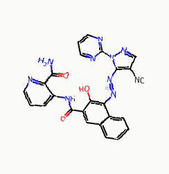 [C-]#[N+]c1cnn(-c2ncccn2)c1/N=N/c1c(O)c(C(=O)Nc2cccnc2C(N)=O)cc2ccccc12